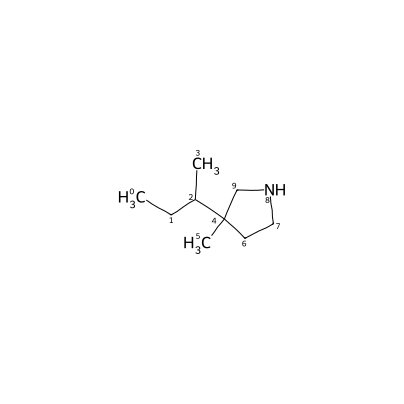 CCC(C)C1(C)CCNC1